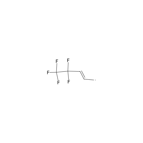 [CH2]/C=C/C(F)(F)C(F)(F)F